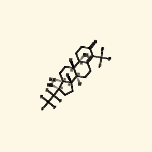 C[C@]12CCC(=O)C(C(F)(F)F)=C1CC[C@@H]1[C@@H]2CC[C@@]2(C)[C@H]1CC[C@@]2(O)C(F)(F)C(F)(F)F